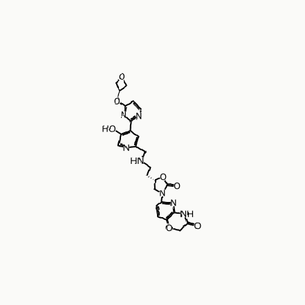 O=C1COc2ccc(N3C[C@H](CCNCc4cc(-c5nccc(OC6COC6)n5)c(O)cn4)OC3=O)nc2N1